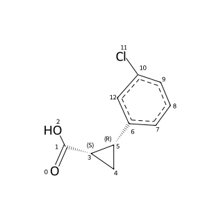 O=C(O)[C@H]1C[C@H]1c1cccc(Cl)c1